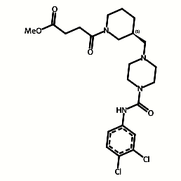 COC(=O)CCC(=O)N1CCC[C@@H](CN2CCN(C(=O)Nc3ccc(Cl)c(Cl)c3)CC2)C1